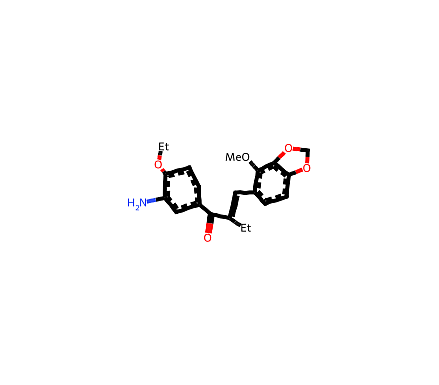 CCOc1ccc(C(=O)/C(=C/c2ccc3c(c2OC)OCO3)CC)cc1N